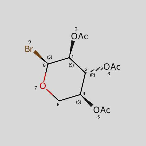 CC(=O)O[C@H]1[C@H](OC(C)=O)[C@@H](OC(C)=O)CO[C@H]1Br